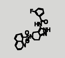 O=C(Nc1[nH]nc2c1CN(S(=O)(=O)c1cccc3cccnc13)CC2)c1cccc(F)c1